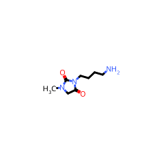 CN1CC(=O)N(CCCCN)C1=O